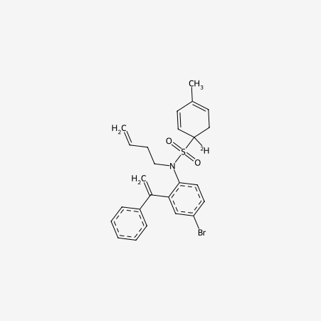 [2H]C1(S(=O)(=O)N(CCC=C)c2ccc(Br)cc2C(=C)c2ccccc2)C=CC(C)=CC1